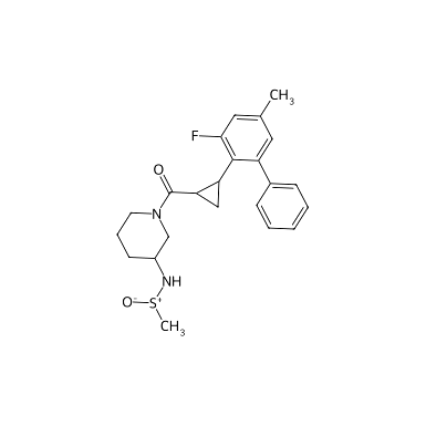 Cc1cc(F)c(C2CC2C(=O)N2CCCC(N[S+](C)[O-])C2)c(-c2ccccc2)c1